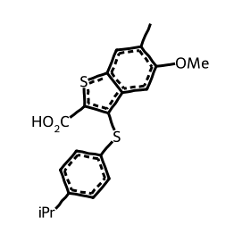 COc1cc2c(Sc3ccc(C(C)C)cc3)c(C(=O)O)sc2cc1C